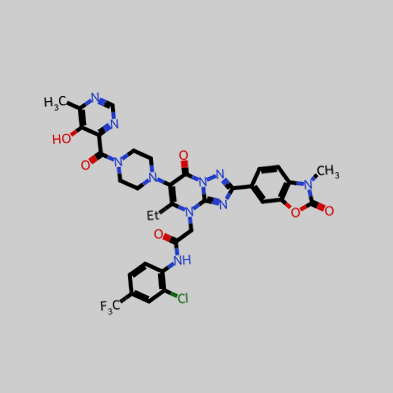 CCc1c(N2CCN(C(=O)c3ncnc(C)c3O)CC2)c(=O)n2nc(-c3ccc4c(c3)oc(=O)n4C)nc2n1CC(=O)Nc1ccc(C(F)(F)F)cc1Cl